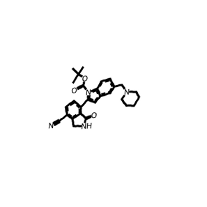 CC(C)(C)OC(=O)n1c(-c2ccc(C#N)c3c2C(=O)NC3)cc2cc(CN3CCCCC3)ccc21